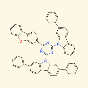 c1ccc(-c2ccc3c4ccccc4n(-c4nc(-c5ccc6c(c5)oc5ccccc56)nc(-n5c6cc(-c7ccccc7)ccc6c6ccc(-c7ccccc7)cc65)n4)c3c2)cc1